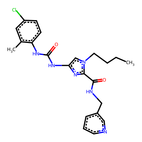 CCCCn1cc(NC(=O)Nc2ccc(Cl)cc2C)nc1C(=O)NCc1cccnc1